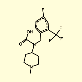 CN1CCC(N(Cc2ccc(F)cc2C(F)(F)F)C(=O)O)CC1